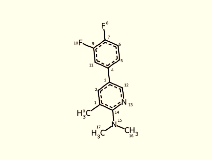 Cc1cc(-c2ccc(F)c(F)c2)cnc1N(C)C